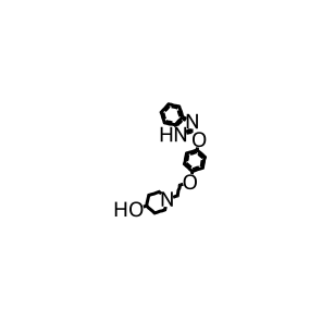 OC1CCN(CCOc2ccc(Oc3nc4ccccc4[nH]3)cc2)CC1